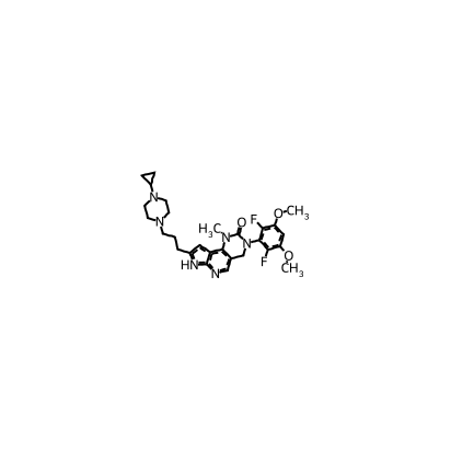 COc1cc(OC)c(F)c(N2Cc3cnc4[nH]c(CCCN5CCN(C6CC6)CC5)cc4c3N(C)C2=O)c1F